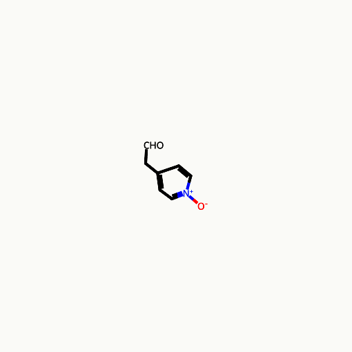 O=CCc1cc[n+]([O-])cc1